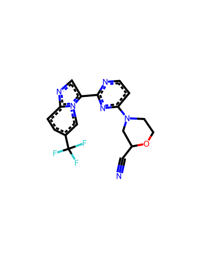 N#CC1CN(c2ccnc(-c3cnc4ccc(C(F)(F)F)cn34)n2)CCO1